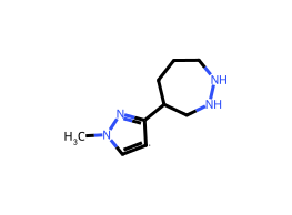 Cn1c[c]c(C2CCCNNC2)n1